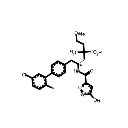 COCCC(C)(C[C@@H](Cc1ccc(-c2cc(Cl)ccc2F)cc1)NC(=O)c1cc(O)no1)C(=O)O